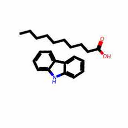 CCCCCCCCCC(=O)O.c1ccc2c(c1)[nH]c1ccccc12